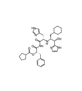 O=C(O[C@@H](Cc1ccccc1)C(=O)NC(=O)[C@H](Cc1c[nH]cn1)N[C@@H](CC1CCCCC1)[C@@H](O)c1ncc[nH]1)C1CCCC1